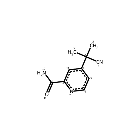 CC(C)(C#N)c1ccnc(C(N)=O)c1